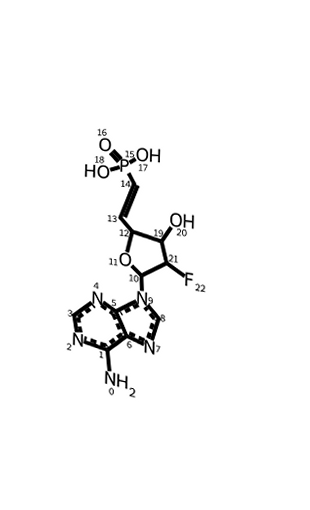 Nc1ncnc2c1ncn2C1OC(/C=C/P(=O)(O)O)C(O)C1F